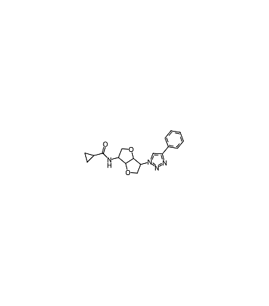 O=C(NC1COC2C1OCC2n1cc(-c2ccccc2)nn1)C1CC1